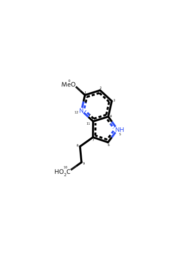 COc1ccc2[nH]cc(CCC(=O)O)c2n1